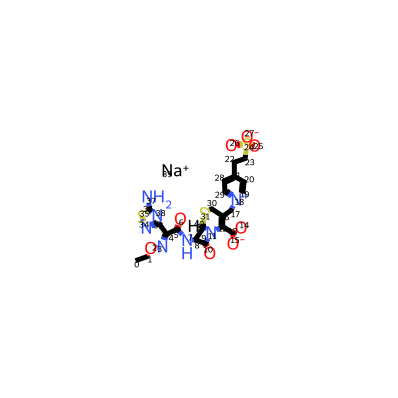 CCON=C(C(=O)NC1C(=O)N2C(C(=O)[O-])=C(C[n+]3ccc(CCS(=O)(=O)[O-])cc3)CS[C@@H]12)c1nsc(N)n1.[Na+]